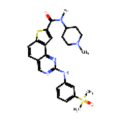 CN1CCC(N(C)C(=O)c2cc3c(ccc4cnc(Nc5cccc([SH](C)(C)=O)c5)nc43)s2)CC1